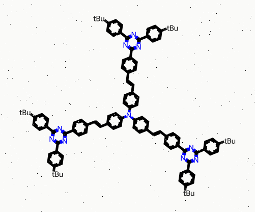 CC(C)(C)c1ccc(-c2nc(-c3ccc(/C=C/c4ccc(N(c5ccc(/C=C/c6ccc(-c7nc(-c8ccc(C(C)(C)C)cc8)nc(-c8ccc(C(C)(C)C)cc8)n7)cc6)cc5)c5ccc(/C=C/c6ccc(-c7nc(-c8ccc(C(C)(C)C)cc8)nc(-c8ccc(C(C)(C)C)cc8)n7)cc6)cc5)cc4)cc3)nc(-c3ccc(C(C)(C)C)cc3)n2)cc1